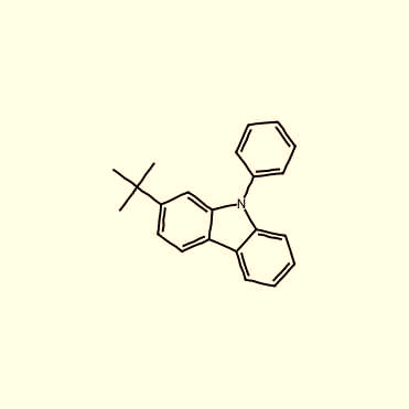 CC(C)(C)c1ccc2c3ccccc3n(-c3ccccc3)c2c1